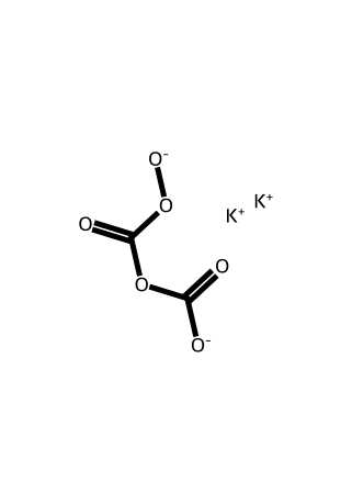 O=C([O-])OC(=O)O[O-].[K+].[K+]